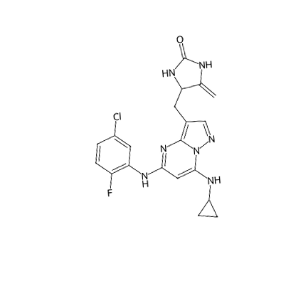 C=C1NC(=O)NC1Cc1cnn2c(NC3CC3)cc(Nc3cc(Cl)ccc3F)nc12